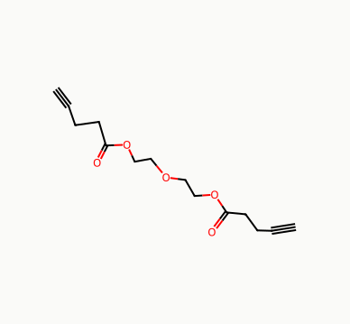 C#CCCC(=O)OCCOCCOC(=O)CCC#C